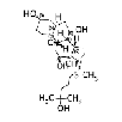 C[C@H](CCCC(C)(C)O)[C@H]1CC[C@H]2[C@@H]3[C@@H](O)C[C@@H]4C[C@H](O)CC[C@]4(C)[C@H]3C[C@H](O)[C@]12C